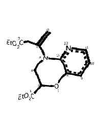 C=C(C(=O)OCC)N1CC(C(=O)OCC)Oc2cccnc21